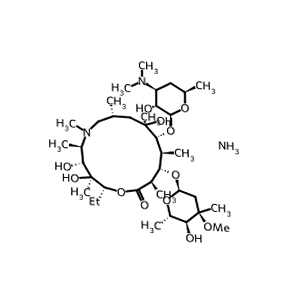 CC[C@H]1OC(=O)[C@H](C)[C@@H](O[C@H]2C[C@@](C)(OC)[C@@H](O)[C@H](C)O2)[C@H](C)[C@@H](O[C@@H]2O[C@H](C)C[C@H](N(C)C)[C@H]2O)[C@](C)(O)C[C@@H](C)CN(C)[C@H](C)[C@@H](O)[C@]1(C)O.N